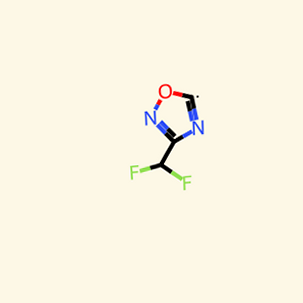 FC(F)c1n[c]on1